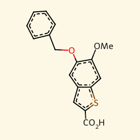 COc1cc2sc(C(=O)O)cc2cc1OCc1ccccc1